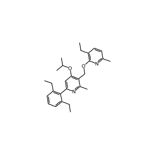 CCc1ccc(C)nc1OCc1c(OC(C)C)cc(-c2c(CC)cccc2CC)nc1C